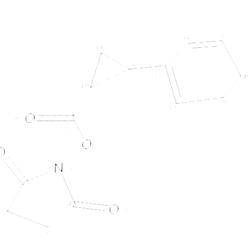 O=C(ON1C(=O)CCC1=O)[C@@H]1CC1c1ccccc1